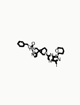 Cn1nccc1C1(CNC(=O)OCc2ccccc2)C2CCN(c3cnc4c(I)nn(C5CCCCO5)c4n3)CC21